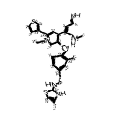 CN/C(=C\C=N)C1=C(Oc2ccc(SNC3NC=CS3)cc2F)CN(C)C(c2ccsc2)=C1